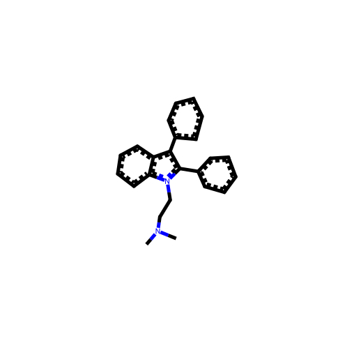 CN(C)CCn1c(-c2ccccc2)c(-c2ccccc2)c2ccccc21